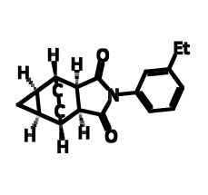 CCc1cccc(N2C(=O)[C@@H]3[C@@H]4CC[C@@H]([C@H]5C[C@H]54)[C@@H]3C2=O)c1